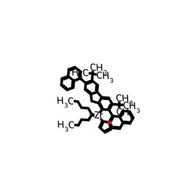 CCCC[C](CCCC)=[Zr]([C]1=CC=CC1)[c]1c2c(cc(C(C)(C)C)c1-c1cccc3ccccc13)-c1cc(C(C)(C)C)c(-c3cccc4ccccc34)cc1C2